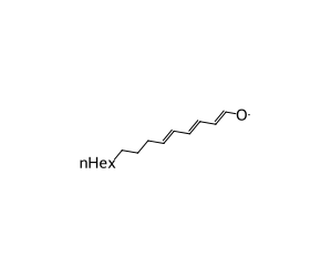 CCCCCCCCCC=CC=CC=C[O]